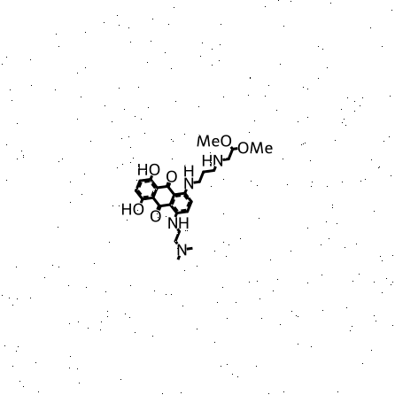 COC(CNCCCNc1ccc(NCCN(C)C)c2c1C(=O)c1c(O)ccc(O)c1C2=O)OC